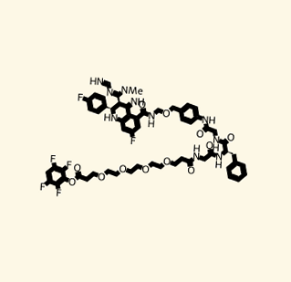 CN/C(=N\C=N)[C@H]1C(=N)c2c(cc(F)cc2C(=O)NCOCc2ccc(NC(=O)CNC(=O)[C@H](Cc3ccccc3)NC(=O)CNC(=O)CCOCCOCCOCCOCCC(=O)Oc3c(F)c(F)cc(F)c3F)cc2)N[C@@H]1c1ccc(F)cc1